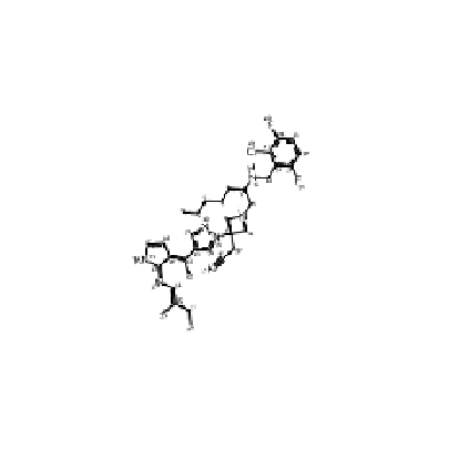 CCCCCC(CN1CC(CC#N)(n2cc(\C(C)=C3/C=CN/C3=N/C=C(\C)CC)cn2)C1)NCc1c(F)ccc(F)c1Cl